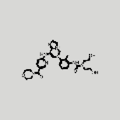 Cc1c(NC(=O)N(CCO)CCO)cccc1N1C=C(Nc2ccc(C(=O)N3CCOCC3)cn2)C2=NC=C[N+]2C1